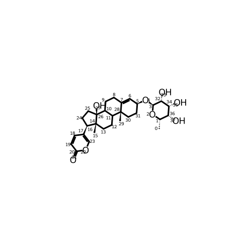 C[C@@H]1O[C@@H](O[C@@H]2C=C3CCC4C(CC[C@]5(C)[C@@H](c6ccc(=O)oc6)CC[C@]45O)[C@@]3(C)CC2)[C@H](O)[C@H](O)[C@@H]1O